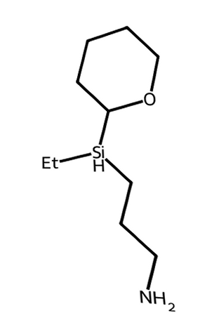 CC[SiH](CCCN)C1CCCCO1